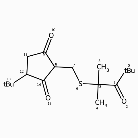 CC(C)(C)C(=O)C(C)(C)SCC1C(=O)CC(C(C)(C)C)C1=O